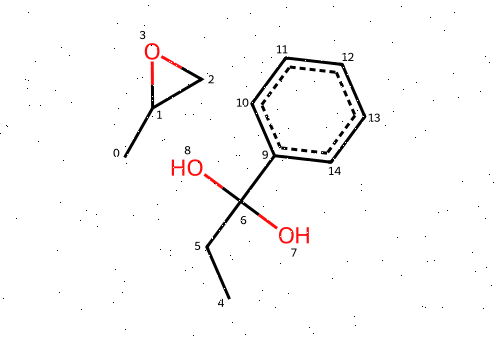 CC1CO1.CCC(O)(O)c1ccccc1